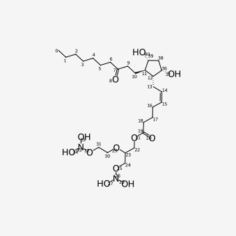 CCCCCCCC(=O)CC[C@@H]1[C@@H](C/C=C\CCCC(=O)OCC(CON(O)O)OCCON(O)O)[C@@H](O)C[C@H]1O